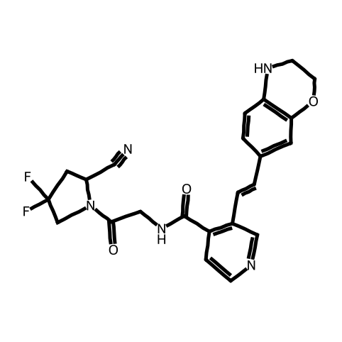 N#CC1CC(F)(F)CN1C(=O)CNC(=O)c1ccncc1/C=C/c1ccc2c(c1)OCCN2